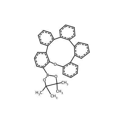 CC1(C)OB(c2cccc3c2Oc2ccccc2-c2ccccc2-c2ccccc2-c2ccccc2-3)OC1(C)C